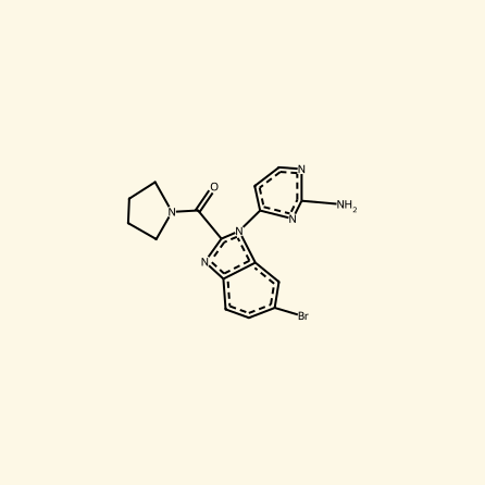 Nc1nccc(-n2c(C(=O)N3CCCC3)nc3ccc(Br)cc32)n1